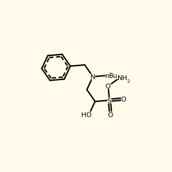 CCCCN(Cc1ccccc1)CC(O)S(=O)(=O)ON